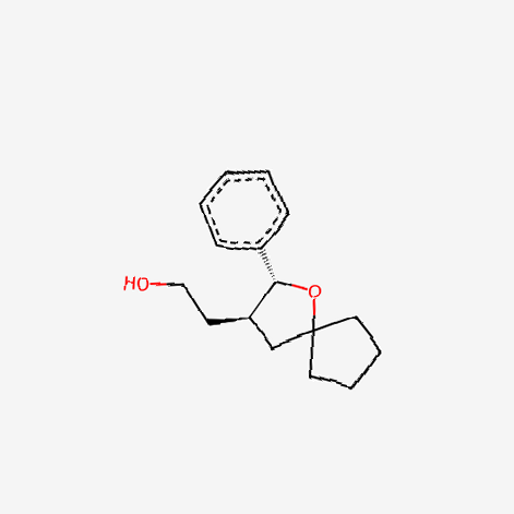 OCC[C@@H]1CC2(CCCC2)O[C@H]1c1ccccc1